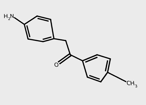 Cc1ccc(C(=O)Cc2ccc(N)cc2)cc1